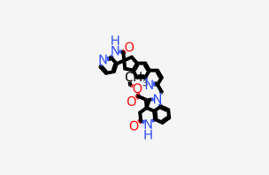 CCOC(=O)CC12CC(=O)Nc3cccc(c31)N(Cc1ccc3cc4c(cc3n1)CC1(C4)C(=O)Nc3ncccc31)C2